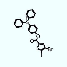 O=C(Oc1ccc([SH](c2ccccc2)c2ccccc2)cc1)c1cc(Br)c(I)s1